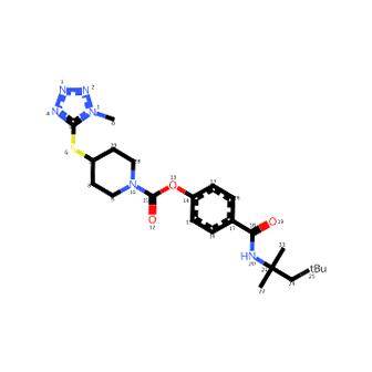 Cn1nnnc1SC1CCN(C(=O)Oc2ccc(C(=O)NC(C)(C)CC(C)(C)C)cc2)CC1